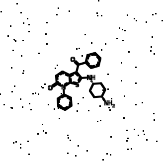 N[C@H]1CC[C@H](Nc2sc3c(ccc(=O)n3-c3ccccc3)c2C(=O)c2ccccc2)CC1